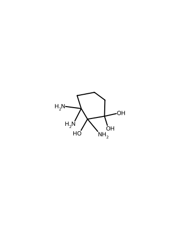 NC1(N)CCCC(O)(O)C1(N)O